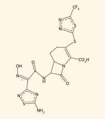 Nc1nc(/C(=N/O)C(=O)NC2C(=O)N3C(C(=O)O)=C(Sc4nnc(C(F)(F)F)s4)CCC23)ns1